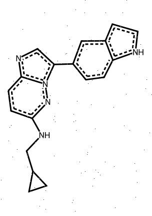 c1cc2cc(-c3cnc4ccc(NCC5CC5)nn34)ccc2[nH]1